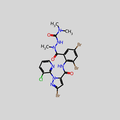 CN(C)C(=O)NN(C)C(=O)c1cc(Br)cc(Br)c1NC(=O)c1cc(Br)nn1-c1ncccc1Cl